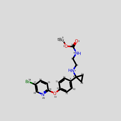 CC(C)(C)OC(=O)NCCNC1(c2ccc(Oc3ccc(Br)cn3)cc2)CC1